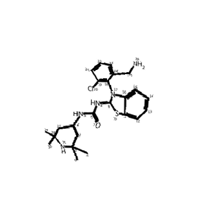 CC1(C)CC(NC(=O)NC2Sc3ccccc3N2c2c(Cl)cccc2CN)CC(C)(C)N1